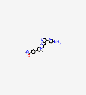 C[C@H]1C[C@@H](c2ccc(C(=O)N(C)C)cc2)CCN1Cc1cc2c(-c3ccc(N)cn3)ccnc2n1C